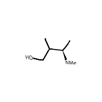 CN[C@H](C)C(C)CO